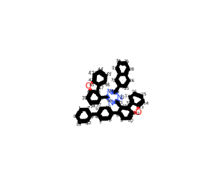 c1ccc(-c2ccc(-c3ccc4oc5ccccc5c4c3-c3nc(-c4ccc5ccccc5c4)nc(-c4cccc5oc6ccccc6c45)n3)cc2)cc1